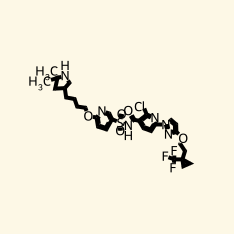 CC1(C)CC(CCCCOc2ccc(S(=O)(=O)NC(=O)c3ccc(-n4ccc(OCCC5(C(F)(F)F)CC5)n4)nc3Cl)cn2)CN1